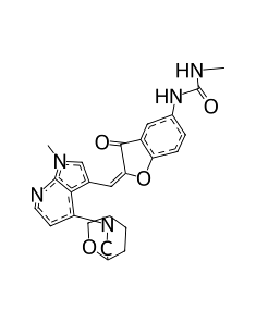 CNC(=O)Nc1ccc2c(c1)C(=O)C(=Cc1cn(C)c3nccc(N4CC5CCC4CO5)c13)O2